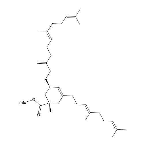 C=C(CC/C=C(\C)CCC=C(C)C)CC[C@H]1C=C(CC/C=C(\C)CCC=C(C)C)C[C@](C)(C(=O)OCCCC)C1